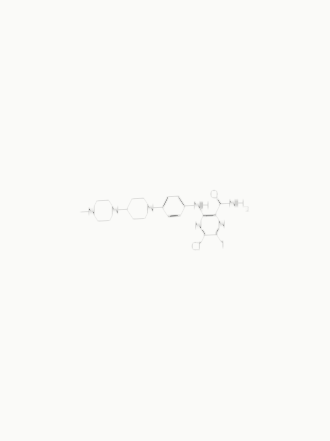 CN1CCN(C2CCN(c3ccc(Nc4nc(Cl)c(I)nc4C(N)=O)cc3)CC2)CC1